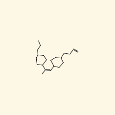 C=CCCC1CCC(C=C(C)C2CCC(CCC)CC2)CC1